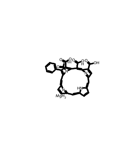 O=C(O)C1=Cc2cc3ccc(cc4nc(cc5c(-c6ccccc6)c(C(=O)O)c(c(C(=O)O)c1n2)n5C(=O)O)C=C4)[nH]3.[MgH2]